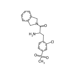 CS(=O)(=O)c1ccc(CC(N)C(=O)N2Cc3ccccc3C2)c(Cl)c1